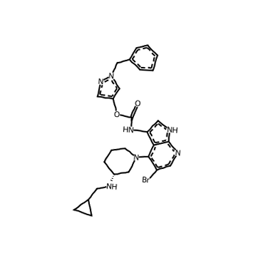 O=C(Nc1c[nH]c2ncc(Br)c(N3CCC[C@@H](NCC4CC4)C3)c12)Oc1cnn(Cc2ccccc2)c1